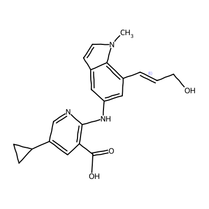 Cn1ccc2cc(Nc3ncc(C4CC4)cc3C(=O)O)cc(/C=C/CO)c21